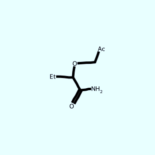 CCC(OCC(C)=O)C(N)=O